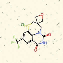 O=c1[nH]c(=O)n2c3c(cc(C(F)(F)F)cc13)[SH](Cl)CC1(COC1)C2